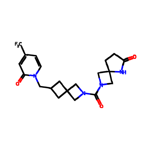 O=C1CCC2(CN(C(=O)N3CC4(CC(Cn5ccc(C(F)(F)F)cc5=O)C4)C3)C2)N1